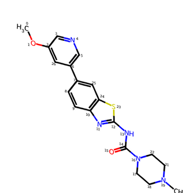 COc1cncc(-c2ccc3nc(NC(=O)N4CCN(C)CC4)sc3c2)c1